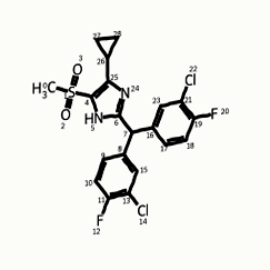 CS(=O)(=O)c1[nH]c(C(c2ccc(F)c(Cl)c2)c2ccc(F)c(Cl)c2)nc1C1CC1